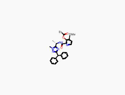 CCC(=O)Oc1c(OC)ccnc1C(=O)N[C@@H](C)c1nc(C(c2ccccc2)c2ccccc2)nn1C